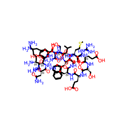 CSCC[C@H](NC(=O)[C@H](Cc1c[nH]c2ccccc12)NC(=O)[C@H](CO)NC(=O)[C@H](CCCCN)NC(=O)[C@H](CC(N)=O)NC(=O)[C@H](CC(N)=O)NC(=O)[C@@H](N)CCCCN)C(=O)N[C@@H](CCC(=O)O)C(=O)N[C@@H](CO)C(=O)N[C@@H](CCC(=O)O)C(=O)N[C@@H](Cc1ccccc1)C(=O)N[C@@H](CCCNC(=N)N)C(=O)N[C@H](C(=O)N[C@@H](Cc1ccc(O)cc1)C(N)=O)C(C)C